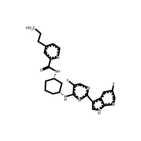 O=C(O)CCc1ccnc(C(=O)N[C@H]2CCC[C@@H](Nc3nc(-c4c[nH]c5ncc(F)cc45)ncc3F)C2)c1